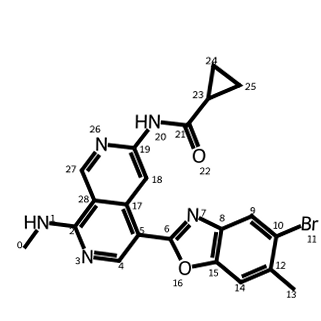 CNc1ncc(-c2nc3cc(Br)c(C)cc3o2)c2cc(NC(=O)C3CC3)ncc12